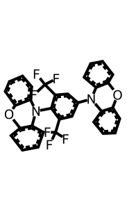 FC(F)(F)c1cc(N2c3ccccc3Oc3ccccc32)cc(C(F)(F)F)c1N1c2ccccc2Oc2ccccc21